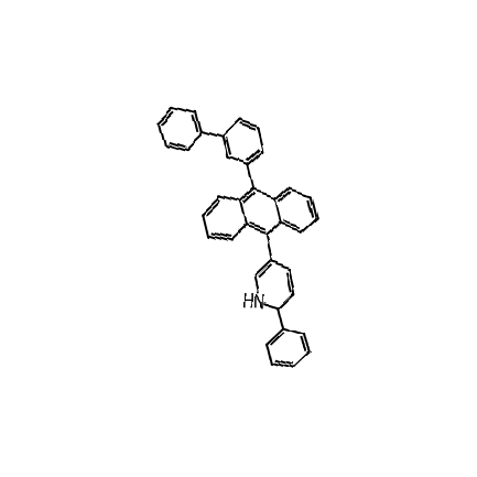 C1=CC(c2ccccc2)NC=C1c1c2ccccc2c(-c2cccc(-c3ccccc3)c2)c2ccccc12